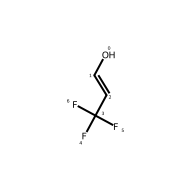 OC=CC(F)(F)F